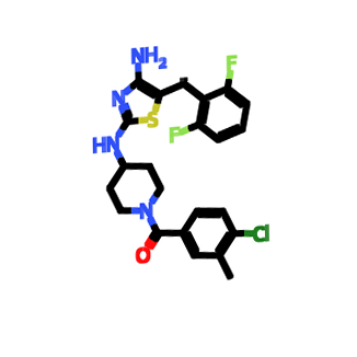 Cc1cc(C(=O)N2CCC(Nc3nc(N)c([C]c4c(F)cccc4F)s3)CC2)ccc1Cl